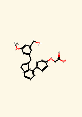 COc1cc(CO)cc(CC2=CCc3cccc(-c4ccc(OCC(=O)O)cc4)c32)c1